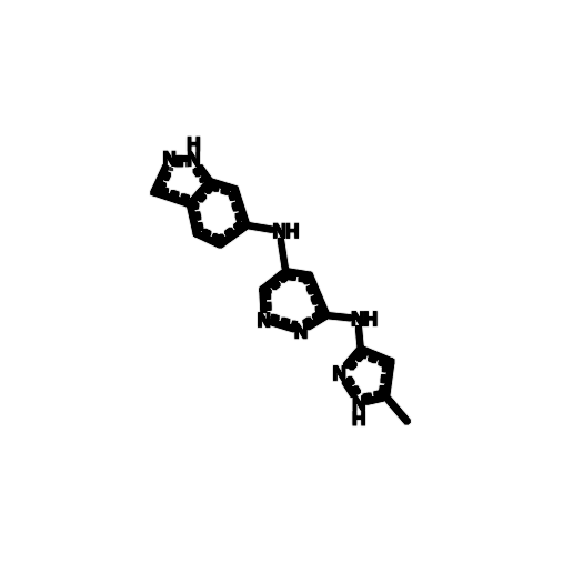 Cc1cc(Nc2cc(Nc3ccc4cn[nH]c4c3)cnn2)n[nH]1